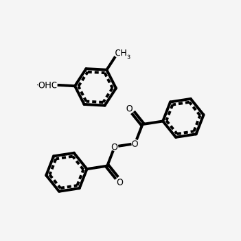 Cc1cccc([C]=O)c1.O=C(OOC(=O)c1ccccc1)c1ccccc1